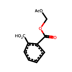 CC(=O)OCOC(=O)c1ccccc1C(=O)O